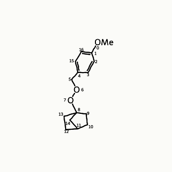 COc1ccc(COOC23CCC(CC2)C3)cc1